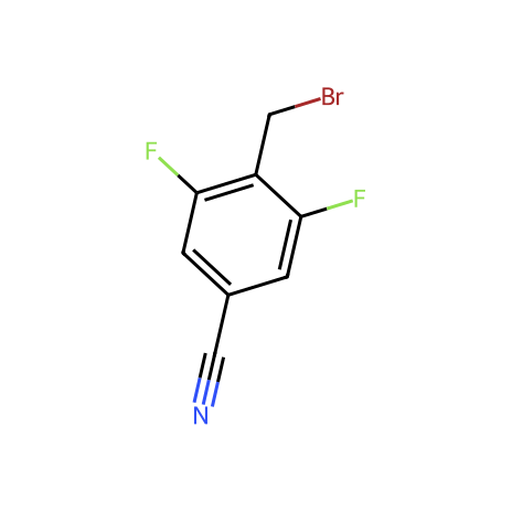 N#Cc1cc(F)c(CBr)c(F)c1